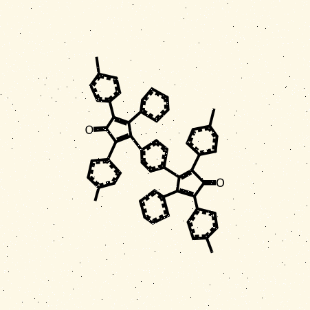 Cc1ccc(C2=C(c3ccccc3)C(c3ccc(C4=C(c5ccc(C)cc5)C(=O)C(c5ccc(C)cc5)=C4c4ccccc4)cc3)=C(c3ccc(C)cc3)C2=O)cc1